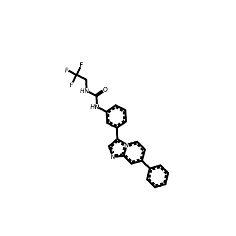 O=C(NCC(F)(F)F)Nc1cccc(-c2cnc3cc(-c4ccccc4)ccn23)c1